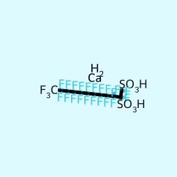 O=S(=O)(O)C(F)(F)C(F)(C(F)(F)C(F)(F)C(F)(F)C(F)(F)C(F)(F)C(F)(F)C(F)(F)C(F)(F)C(F)(F)C(F)(F)F)S(=O)(=O)O.[CaH2]